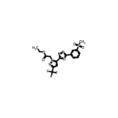 CCOC(=O)Cn1nc(C(F)(F)F)cc1-c1nnc(-c2cccc(S(C)(=O)=O)c2)o1